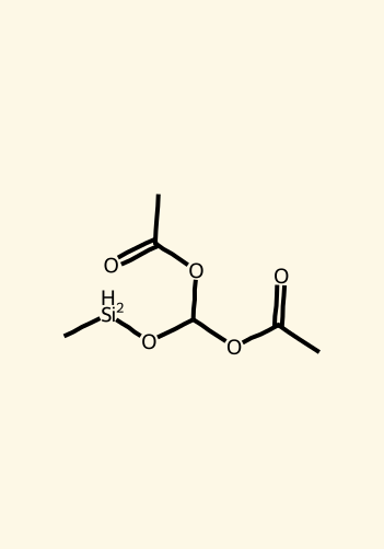 C[SiH2]OC(OC(C)=O)OC(C)=O